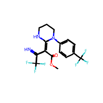 COC(=O)/C(C(=N)C(F)(F)F)=C1/NCCCN1c1ccc(C(F)(F)F)cc1